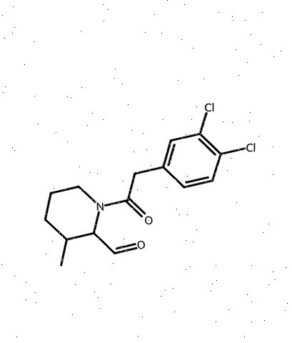 CC1CCCN(C(=O)Cc2ccc(Cl)c(Cl)c2)C1C=O